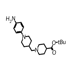 CC(C)(C)OC(=O)C1CCN(CC2CCN(c3ccc(N)cc3)CC2)CC1